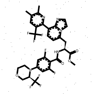 COC(=O)[C@H](Cc1ccc(-c2nc(C)c(C)cc2C(F)(F)F)c2nccn12)NC(=O)c1c(F)cc(N2CCOC[C@@H]2C(F)(F)F)cc1F